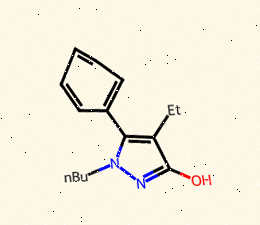 CCCCn1nc(O)c(CC)c1-c1ccccc1